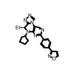 CC[C@H]1c2nncn2-c2cnc(-c3ccc(-c4ccon4)cc3)nc2N1C1CCCC1